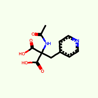 CC(=O)NC(Cc1ccncc1)(C(=O)O)C(=O)O